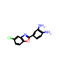 Nc1ccc(-c2nc3cc(Cl)ccc3o2)cc1N